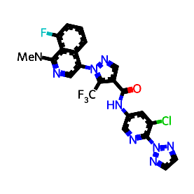 CNc1ncc(-n2ncc(C(=O)Nc3cnc(-n4nccn4)c(Cl)c3)c2C(F)(F)F)c2cccc(F)c12